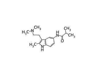 Cc1[nH]c2ccc(NC(=O)C(C)C)cc2c1CCN(C)C